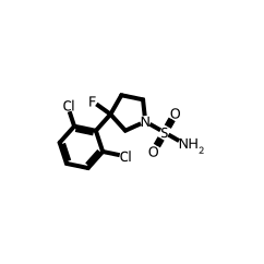 NS(=O)(=O)N1CCC(F)(c2c(Cl)cccc2Cl)C1